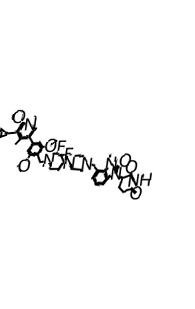 COc1cc(-c2cn(C)c(=O)c(C3CC3)c2C)cc(OC)c1CN1CCC(N2CCN(Cc3cccc4c3n(C)c(=O)n4C3CCC(=O)NC3=O)CC2)C(F)(F)C1